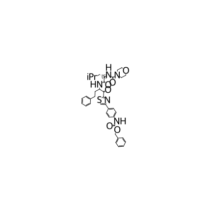 CC(C)C[C@H](NC(=O)N1CCOCC1)C(=O)NC(CCc1ccccc1)C(=O)c1nc(-c2ccc(NC(=O)OCc3ccccc3)cc2)cs1